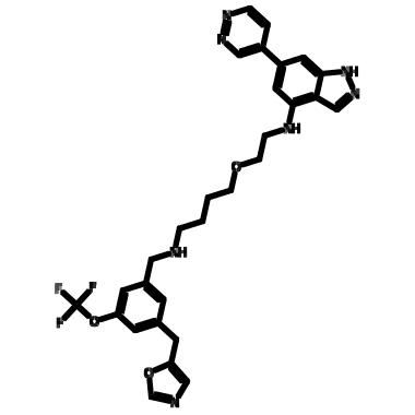 FC(F)(F)Oc1cc(CNCCCCOCCNc2cc(-c3ccnnc3)cc3[nH]ncc23)cc(Cc2cnco2)c1